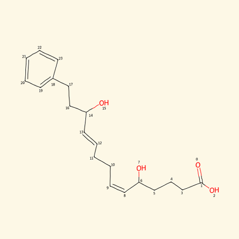 O=C(O)CCCC(O)/C=C\CC/C=C/C(O)CCc1ccccc1